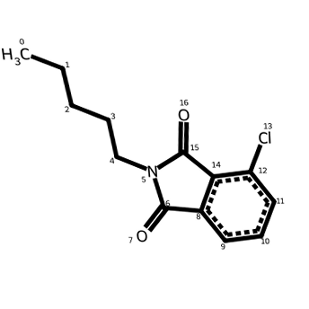 CCCCCN1C(=O)c2cccc(Cl)c2C1=O